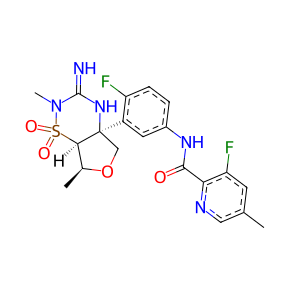 Cc1cnc(C(=O)Nc2ccc(F)c([C@]34CO[C@@H](C)[C@H]3S(=O)(=O)N(C)C(=N)N4)c2)c(F)c1